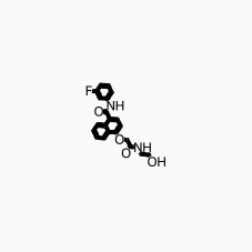 O=C(COc1ccc(C(=O)Nc2cccc(F)c2)c2ccccc12)NCCO